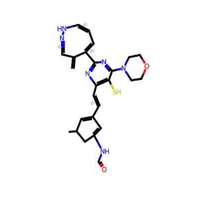 C=C1/C=N\N/C=C\C=C/1c1nc(/C=C/C2=CC(C)CC(NC=O)=C2)c(S)c(N2CCOCC2)n1